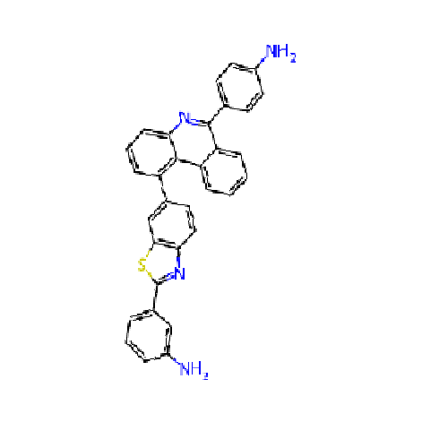 Nc1ccc(-c2nc3cccc(-c4ccc5nc(-c6cccc(N)c6)sc5c4)c3c3ccccc23)cc1